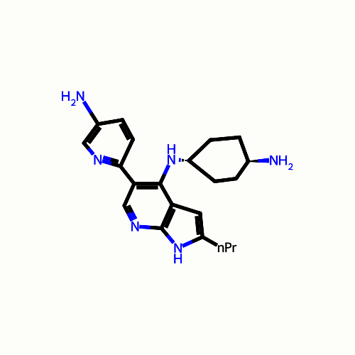 CCCc1cc2c(N[C@H]3CC[C@H](N)CC3)c(-c3ccc(N)cn3)cnc2[nH]1